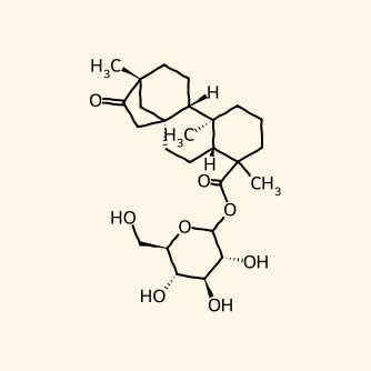 CC1(C(=O)OC2O[C@H](CO)[C@@H](O)[C@H](O)[C@H]2O)CCC[C@@]2(C)[C@H]1CC[C@@]13CC(=O)[C@](C)(CC[C@@H]12)C3